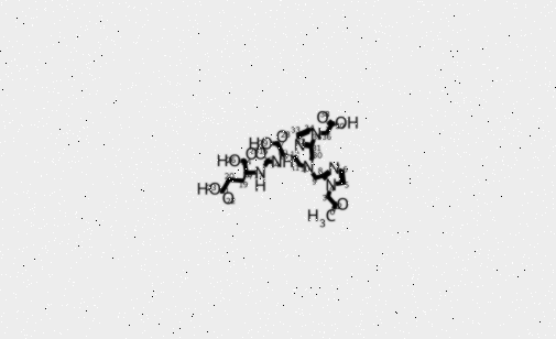 CC(=O)Cn1ccnc1CN(CC[C@H](NC(=O)N[C@@H](CCC(=O)O)C(=O)O)C(=O)O)Cc1nccn1CC(=O)O